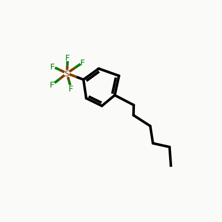 CCCCCCc1ccc(S(F)(F)(F)(F)F)cc1